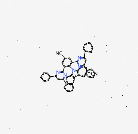 N#Cc1cc(-c2nc(-c3ccccc3)cc(-c3ccccc3)n2)c(-n2c3ccccc3c3cc(C#N)ccc32)c(-c2nc(-c3ccccc3)cc(-c3ccccc3)n2)c1